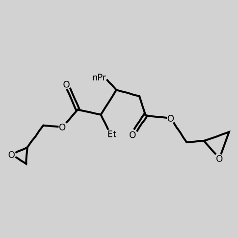 CCCC(CC(=O)OCC1CO1)C(CC)C(=O)OCC1CO1